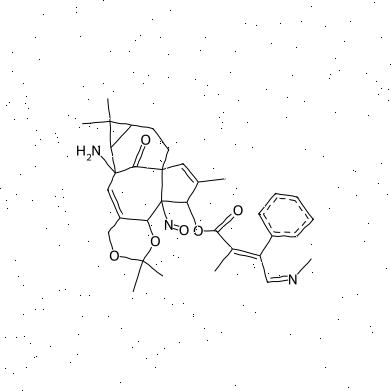 C/N=C\C(=C(/C)C(=O)OC1C(C)=CC23CCC4C(C(N)(C=C5COC(C)(C)OC5C12N=O)C3=O)C4(C)C)c1ccccc1